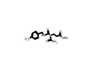 COC(=O)CCN(C(N)=O)C(=O)NCc1ccc(C)cc1